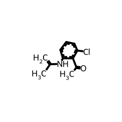 C=C(C)Nc1cccc(Cl)c1C(C)=O